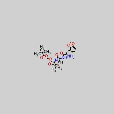 CC(C)(C)C(=O)OCOC(=O)[C@@H]1N2C(=O)[C@@H](NC(=O)C(N)Cc3cccc4c3OCO4)[C@H]2SC1(C)C